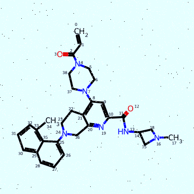 C=CC(=O)N1CCN(c2cc(C(=O)NC3CN(C)C3)nc3c2CCN(c2cccc4cccc(C)c24)C3)CC1